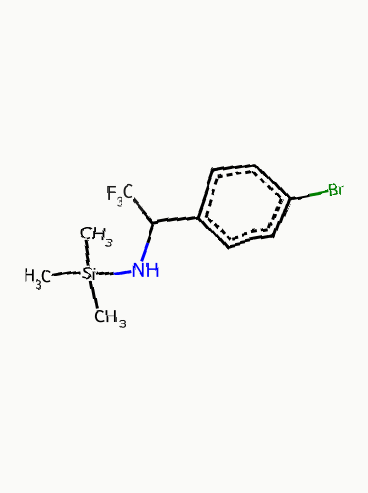 C[Si](C)(C)NC(c1ccc(Br)cc1)C(F)(F)F